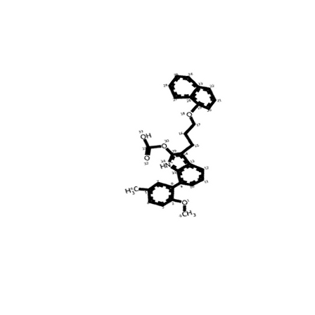 COc1ccc(C)cc1-c1cccc2c(CCCOc3cccc4ccccc34)c(OC(=O)O)[nH]c12